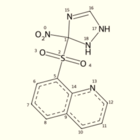 O=[N+]([O-])C1(S(=O)(=O)c2cccc3cccnc23)N=CNN1